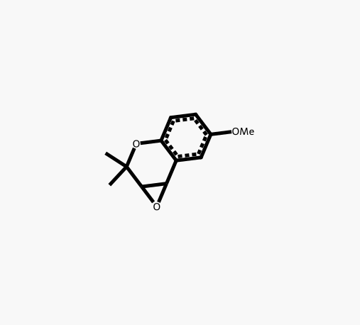 COc1ccc2c(c1)C1OC1C(C)(C)O2